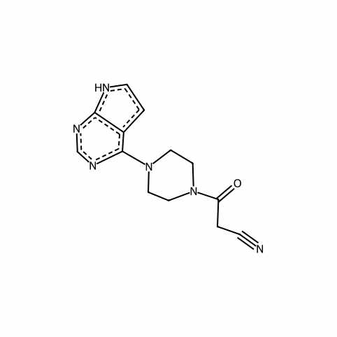 N#CCC(=O)N1CCN(c2ncnc3[nH]ccc23)CC1